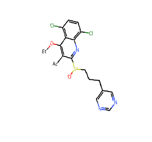 CCOc1c(C(C)=O)c([S+]([O-])CCCc2cncnc2)nc2c(Cl)ccc(Cl)c12